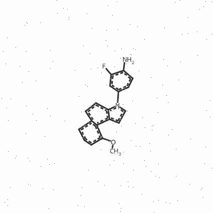 COc1cccc2ccc3c(c[c]n3-c3ccc(N)c(F)c3)c12